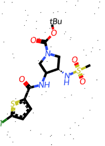 CC(C)(C)OC(=O)N1CC(NC(=O)c2ccc(Cl)s2)[C@@H](NS(C)(=O)=O)C1